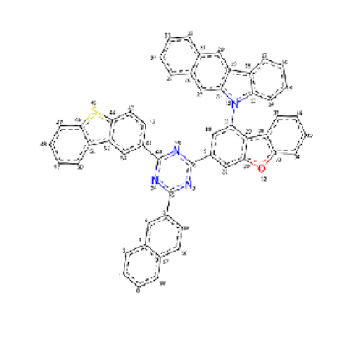 c1ccc2cc(-c3nc(-c4cc(-n5c6ccccc6c6cc7ccccc7cc65)c5c(c4)oc4ccccc45)nc(-c4ccc5sc6ccccc6c5c4)n3)ccc2c1